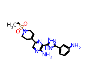 CCS(=O)(=O)N1CC=C(c2cnc(N)c(-c3nnc(-c4cccc(N)c4)[nH]3)n2)CC1